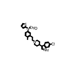 Cc1ccc(N(C=O)c2cccs2)cc1CCN1CCC(c2c[nH]c3cc(Cl)ccc23)CC1